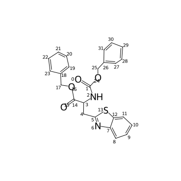 O=C(NC(Cc1nc2ccccc2s1)C(=O)OCc1ccccc1)OCc1ccccc1